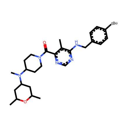 Cc1c(NCc2ccc(C(C)(C)C)cc2)ncnc1C(=O)N1CCC(N(C)C2CC(C)OC(C)C2)CC1